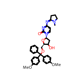 COc1ccc(C(OC[C@H]2O[C@@H](n3ccc(/N=C4/CCCN4C)nc3=O)CC2O)(c2ccccc2)c2ccc(OC)cc2)cc1